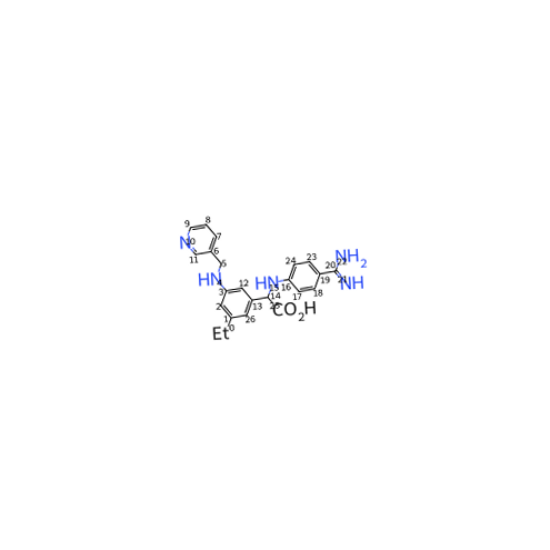 CCc1cc(NCc2cccnc2)cc(C(Nc2ccc(C(=N)N)cc2)C(=O)O)c1